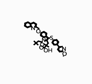 COc1ccc(-c2ccc(Sc3c(CC(C)(C)C(=O)O)n(C(=O)CC(C)(C)C)c4cc(OCc5ccc6ccccc6n5)ccc34)cc2)cn1